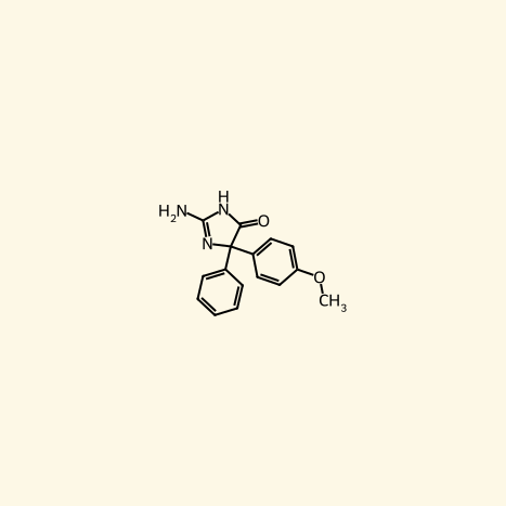 COc1ccc(C2(c3ccccc3)N=C(N)NC2=O)cc1